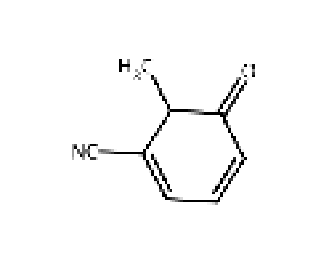 CC1C(=O)C=CC=C1C#N